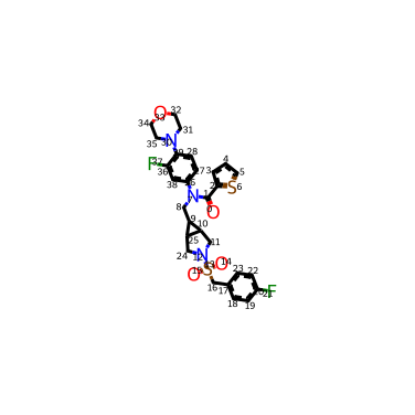 O=C(c1cccs1)N(CC1C2CN(S(=O)(=O)Cc3ccc(F)cc3)CC12)c1ccc(N2CCOCC2)c(F)c1